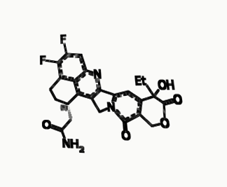 CCC1(O)C(=O)OCc2c1cc1n(c2=O)Cc2c-1nc1cc(F)c(F)c3c1c2[C@H](CC(N)=O)CC3